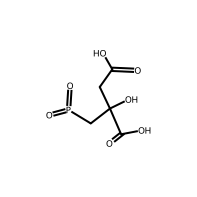 O=C(O)CC(O)(CP(=O)=O)C(=O)O